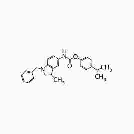 CC(C)c1ccc(OC(=O)Nc2ccc3c(c2)C(C)CN3Cc2ccccc2)cc1